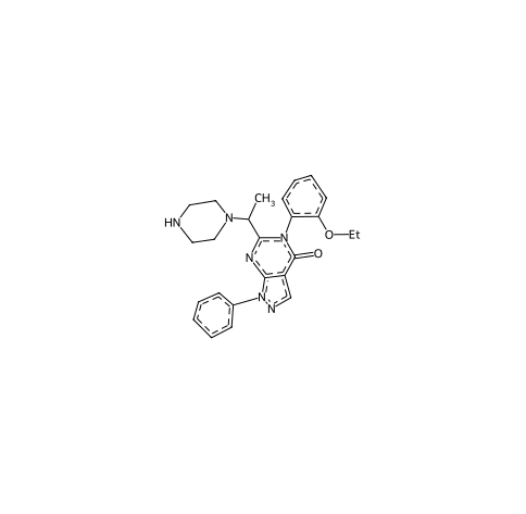 CCOc1ccccc1-n1c(C(C)N2CCNCC2)nc2c(cnn2-c2ccccc2)c1=O